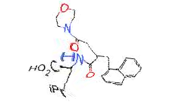 CC(C)C[C@H](NC(=O)C(CC(=O)N1CCOCC1)Cc1cccc2ccccc12)C(=O)O